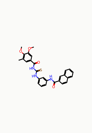 COc1cc(C(=O)NC(=S)Nc2cccc(NC(=O)c3ccc4ccccc4c3)c2)cc(C)c1OC